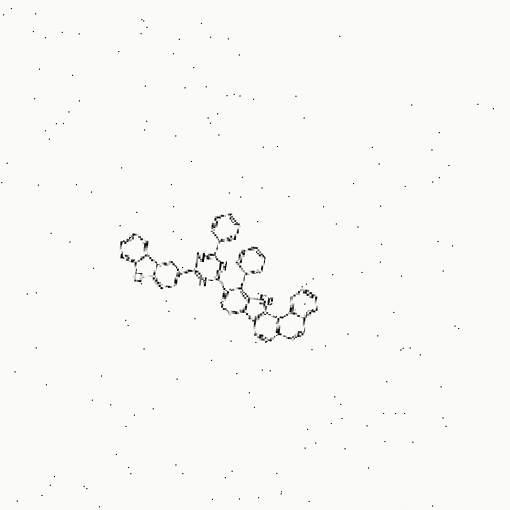 c1ccc(-c2nc(-c3ccc4oc5ccccc5c4c3)nc(-c3ccc4c([se]c5c4ccc4ccc6ccccc6c45)c3-c3ccccc3)n2)cc1